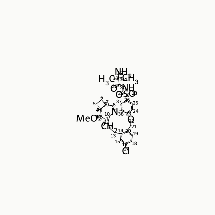 C=C[C@@H](OC)[C@@H]1CC[C@H]1CN1CCCCc2cc(Cl)ccc2COc2ccc(S(=O)(=O)NC(=O)C(C)(C)N)cc21